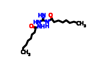 CCCCCCCC(=O)NNC(=N)NC(=O)CCCCCCC